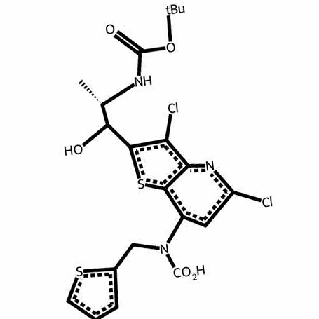 C[C@H](NC(=O)OC(C)(C)C)C(O)c1sc2c(N(Cc3cccs3)C(=O)O)cc(Cl)nc2c1Cl